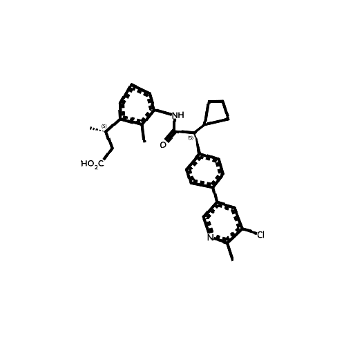 Cc1ncc(-c2ccc([C@@H](C(=O)Nc3cccc([C@@H](C)CC(=O)O)c3C)C3CCC3)cc2)cc1Cl